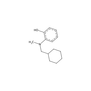 CN(CC1CCCCC1)c1ccccc1O